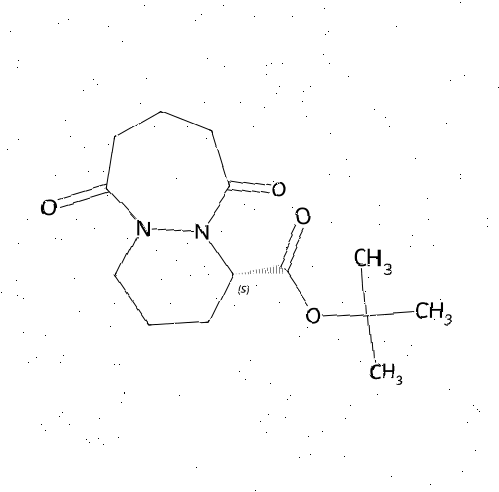 CC(C)(C)OC(=O)[C@@H]1CCCN2C(=O)CCCC(=O)N12